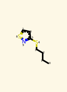 CCCCSc1ccsn1